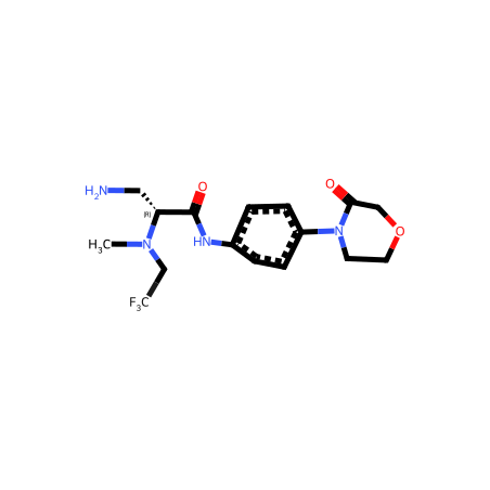 CN(CC(F)(F)F)[C@H](CN)C(=O)Nc1ccc(N2CCOCC2=O)cc1